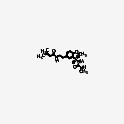 CNC(=O)NS(=O)(=O)c1cc(CCNC(=O)C=C(C)C)ccc1OC